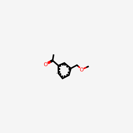 COCc1cc[c]c(C(C)=O)c1